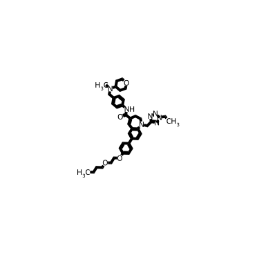 CCCCOCCOc1ccc(-c2ccc3c(c2)C=C(C(=O)Nc2ccc(CN(C)C4CCOCC4)cc2)CCN3Cc2nnn(CC)n2)cc1